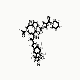 CC(=O)N1CC[C@H]2CC[C@@H](C(=O)N3CC(C(=O)N4CCCCC4)C3)N2C(=O)[C@@H](NC(=O)c2cc3cc(C(F)(F)P(=O)(O)O)ccc3[nH]2)C1